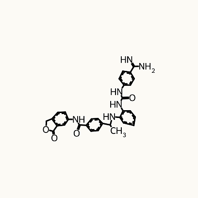 CC(Nc1ccccc1NC(=O)Nc1ccc(C(=N)N)cc1)c1ccc(C(=O)Nc2ccc3c(c2)C(=O)OC3)cc1